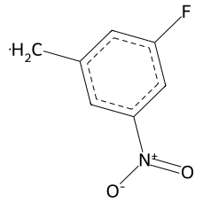 [CH2]c1cc(F)cc([N+](=O)[O-])c1